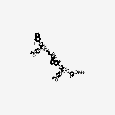 C=CC(=O)N1CCN(c2nc(OCCC[C@@H]3CC(F)(c4cccc5cc(N6Cc7nc(OC[C@@H]8C[C@@H](OC)CN8C)nc(N8CCN(C(=O)C=C)CC8)c7C6)c(F)cc45)CN3C)nc3c2CN(c2cc4ccccc4cc2F)C3)CC1